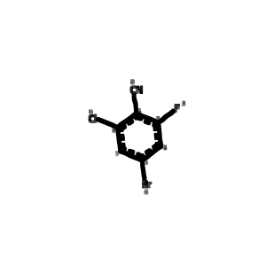 N#Cc1c(F)cc(Br)cc1Cl